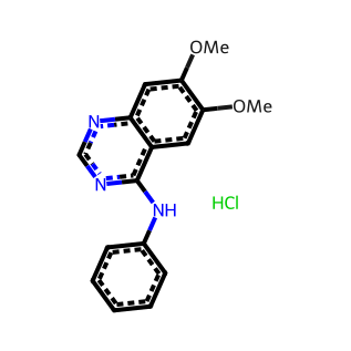 COc1cc2ncnc(Nc3ccccc3)c2cc1OC.Cl